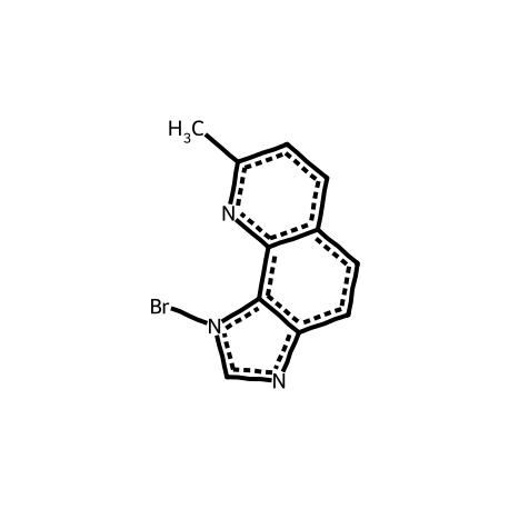 Cc1ccc2ccc3ncn(Br)c3c2n1